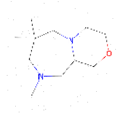 CN1CC2COCCN2CC(C)(C)C1